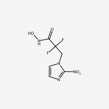 O=C(NO)C(F)(F)Cn1ccnc1[N+](=O)[O-]